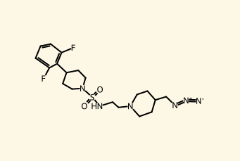 [N-]=[N+]=NCC1CCN(CCNS(=O)(=O)N2CCC(c3c(F)cccc3F)CC2)CC1